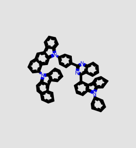 c1ccc(-n2c3ccccc3c3c(-c4nc(-c5ccc(-n6c7ccccc7c7cc8cccc(-n9c%10ccccc%10c%10c%11ccccc%11ccc%109)c8cc76)cc5)nc5ccccc45)cccc32)cc1